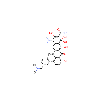 CCN(CC)Cc1ccc(OC)c(-c2ccc(O)c3c2CC2CC4C(N(C)C)C(O)=C(C(N)=O)C(O)(O)C4C(O)=C2C3=O)c1